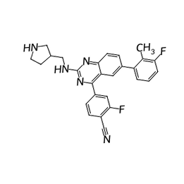 Cc1c(F)cccc1-c1ccc2nc(NCC3CCNC3)nc(-c3ccc(C#N)c(F)c3)c2c1